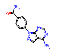 NC(=O)c1ccc(-n2ncc3c(N)ncnc32)cc1